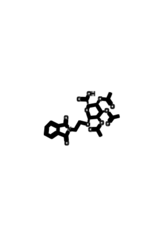 CC(=O)O[C@@H]1[C@@H](OC(C)=O)[C@H](OCCN2C(=O)c3ccccc3C2=O)O[C@H](C(=O)O)[C@H]1OC(C)=O